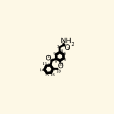 NC(=O)Cc1ccc2c(c1)C(=O)c1ccccc1CO2